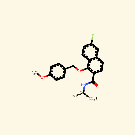 CC(C)(C)[C@@H](NC(=O)c1ccc2cc(F)ccc2c1OCc1ccc(OC(F)(F)F)cc1)C(=O)O